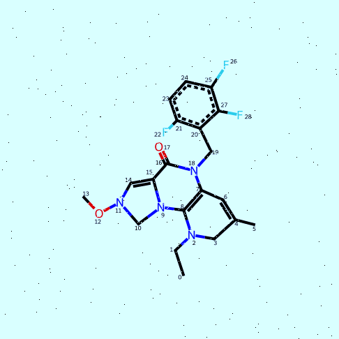 CCN1CC(C)=CC2=C1N1CN(OC)C=C1C(=O)N2Cc1c(F)ccc(F)c1F